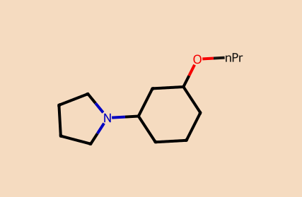 CCCOC1CCCC(N2CCCC2)C1